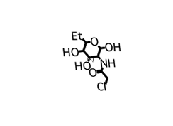 CCC1OC(O)C(NC(=O)CCl)[C@@H](O)C1O